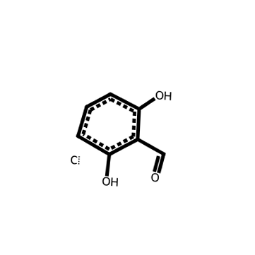 O=Cc1c(O)cccc1O.[C]